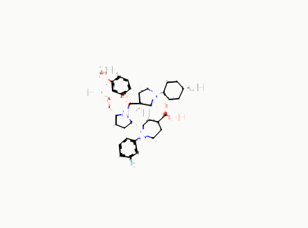 COC[C@@H]1C[C@@H](c2ccc(F)cc2N2CCC(C(=O)O)CC2)CN1C(=O)[C@]1(C)CN([C@H]2CC[C@H](C)CC2)C[C@H]1c1ccc(OC)cc1